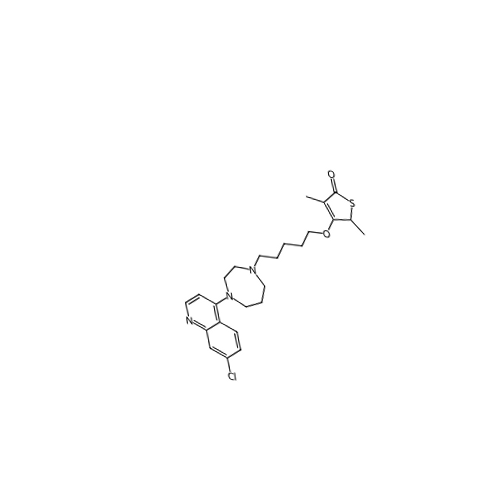 CC1=C(OCCCCCN2CCCN(c3ccnc4cc(Cl)ccc34)CC2)C(C)SC1=O